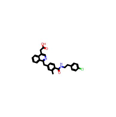 Cc1cc(Cc2ncc(CC(=O)O)c3ccccc23)ccc1C(=O)NCCc1ccc(Cl)cc1